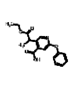 CCOC(=O)C(C)c1cnc(Oc2ccccc2)cc1C(=O)O